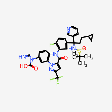 CC(C)(C)[S@@+]([O-])NC(CCC1CC1)(c1cccnc1)c1ccc(F)c(NC(=O)c2cc(C(F)(F)F)nn2-c2cccc(N(C=N)C(=O)O)c2)c1